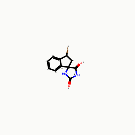 O=C1NC(=O)C2(CC(Br)c3ccccc32)N1